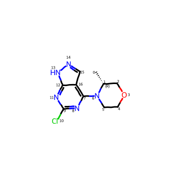 C[C@@H]1COCCN1c1nc(Cl)nc2[nH]ncc12